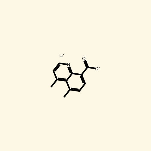 Cc1ccnc2c(C(=O)[O-])ccc(C)c12.[Li+]